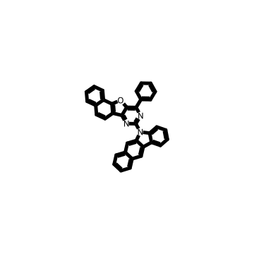 c1ccc(-c2nc(-n3c4ccccc4c4cc5ccccc5cc43)nc3c2oc2c4ccccc4ccc32)cc1